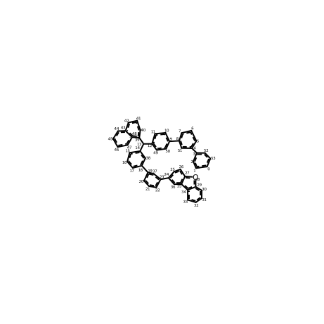 c1ccc(-c2cccc(-c3ccc(C(c4cccc(-c5cccc(-c6ccc7oc8ccccc8c7c6)c5)c4)c4cccc5ccccc45)cc3)c2)cc1